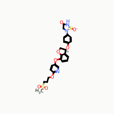 CS(=O)(=O)CCCOc1ccc(Oc2cccc3c2OC[C@H]3Oc2ccc(N3CC(=O)N[S+]3[O-])cc2)cn1